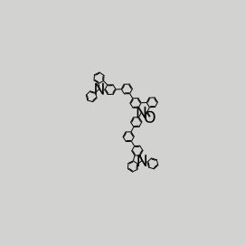 O=c1c2ccccc2c2cc(-c3cccc(-c4ccc5c(c4)c4ccccc4n5-c4ccccc4)c3)ccc2n1-c1ccc(-c2cccc(-c3ccc4c(c3)c3ccccc3n4-c3ccccc3)c2)cc1